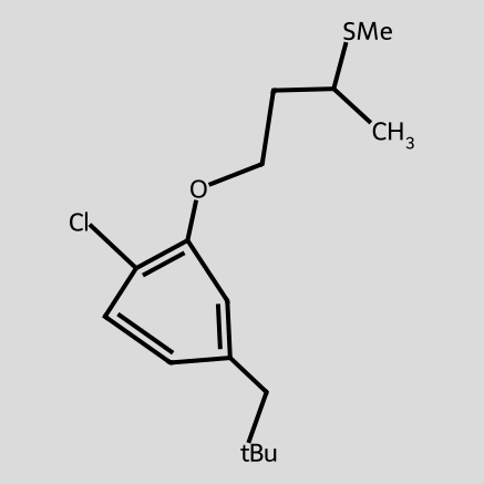 CSC(C)CCOc1cc(CC(C)(C)C)ccc1Cl